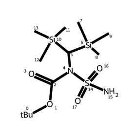 CC(C)(C)OC(=O)N(C([Si](C)(C)C)[Si](C)(C)C)S(N)(=O)=O